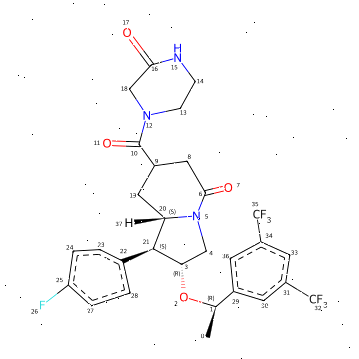 C[C@@H](O[C@H]1CN2C(=O)CC(C(=O)N3CCNC(=O)C3)C[C@H]2[C@@H]1c1ccc(F)cc1)c1cc(C(F)(F)F)cc(C(F)(F)F)c1